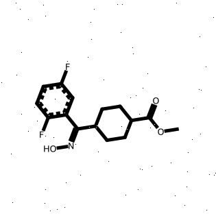 COC(=O)C1CCC(C(=NO)c2cc(F)ccc2F)CC1